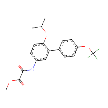 COC(=O)C(=O)Nc1ccc(OC(C)C)c(-c2ccc(OC(F)(F)F)cc2)c1